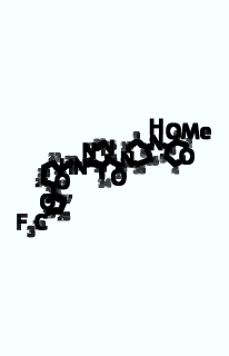 COC1COCCC1NC1CCN(C(=O)c2ncnc(NCC3CCCC(c4ccc(C(F)(F)F)o4)O3)c2C)CC1